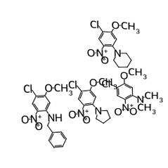 COc1cc(N(C)C)c([N+](=O)[O-])cc1Cl.COc1cc(N2CCCC2)c([N+](=O)[O-])cc1Cl.COc1cc(N2CCCCC2)c([N+](=O)[O-])cc1Cl.COc1cc(NCc2ccccc2)c([N+](=O)[O-])cc1Cl